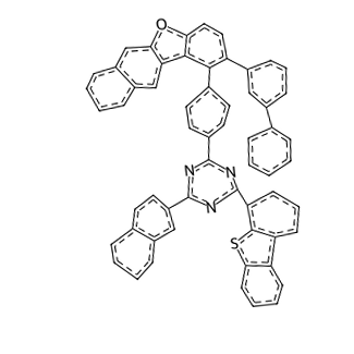 c1ccc(-c2cccc(-c3ccc4oc5cc6ccccc6cc5c4c3-c3ccc(-c4nc(-c5ccc6ccccc6c5)nc(-c5cccc6c5sc5ccccc56)n4)cc3)c2)cc1